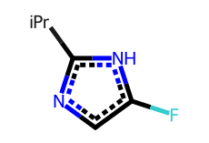 CC(C)c1ncc(F)[nH]1